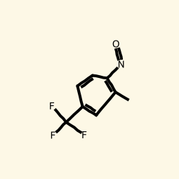 Cc1cc(C(F)(F)F)ccc1N=O